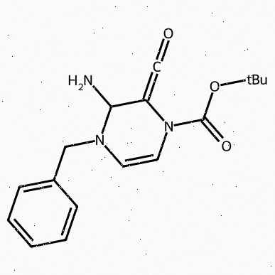 CC(C)(C)OC(=O)N1C=CN(Cc2ccccc2)C(N)C1=C=O